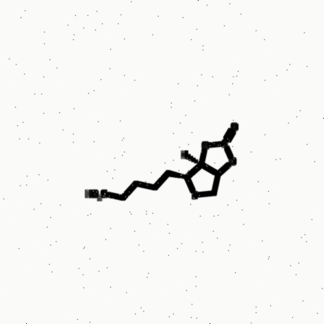 O=C(O)CCCC[C@@H]1SCC2OS(=O)O[C@@H]21